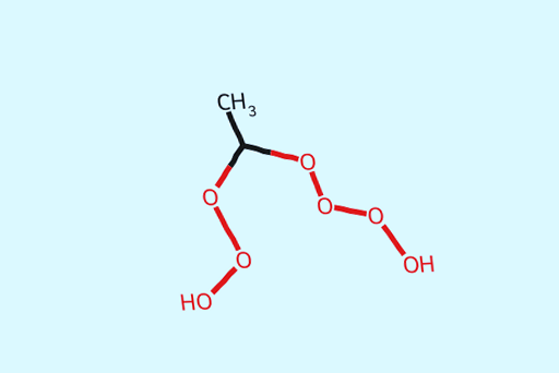 CC(OOO)OOOO